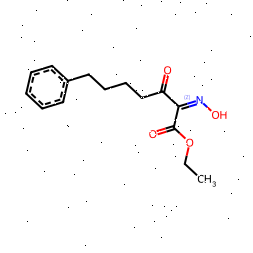 CCOC(=O)/C(=N\O)C(=O)CCCCc1ccccc1